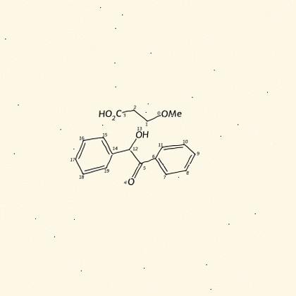 COCCC(=O)O.O=C(c1ccccc1)C(O)c1ccccc1